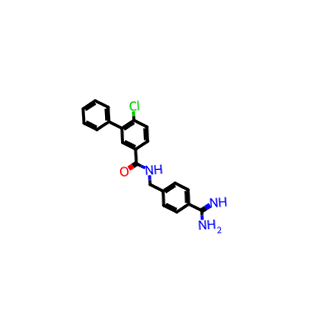 N=C(N)c1ccc(CNC(=O)c2ccc(Cl)c(-c3ccccc3)c2)cc1